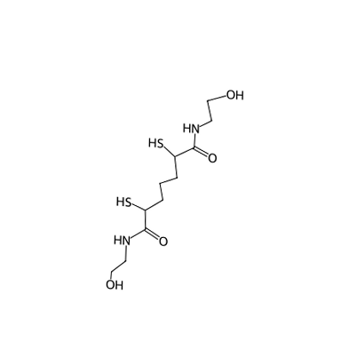 O=C(NCCO)C(S)CCCC(S)C(=O)NCCO